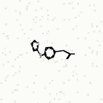 CC(C)Cc1ccc(Sc2cccs2)cc1